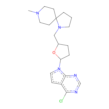 CN1CCC2(CCCN2CC2CCC(n3ccc4c(Cl)ncnc43)O2)CC1